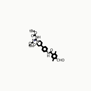 Cc1cc(C(=O)Nc2ccc(C3=CCN(/C(=N\C(=O)OC(C)(C)C)NC(=O)OC(C)(C)C)CC3)cc2)c(C)cc1C=O